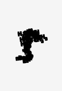 CCCCN(CC)c1cc(OC2CCN(CC(=O)Nc3cccc4c(-c5nc(Nc6cc(C)n(C)n6)ncc5C)c[nH]c34)C2)ncn1